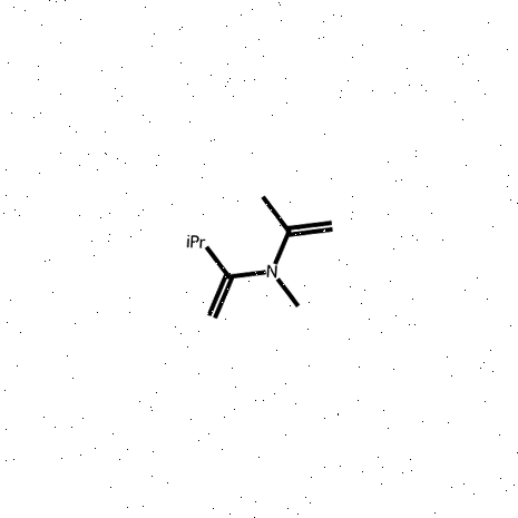 C=C(C)N(C)C(=C)C(C)C